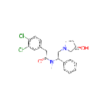 CN(C(=O)Cc1ccc(Cl)c(Cl)c1)C(CN1CC[C@@H](O)C1)c1ccccc1